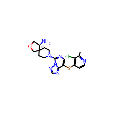 Cc1nccc(Sc2cnc(N3CCC4(CC3)COC[C@H]4N)n3ncnc23)c1Cl